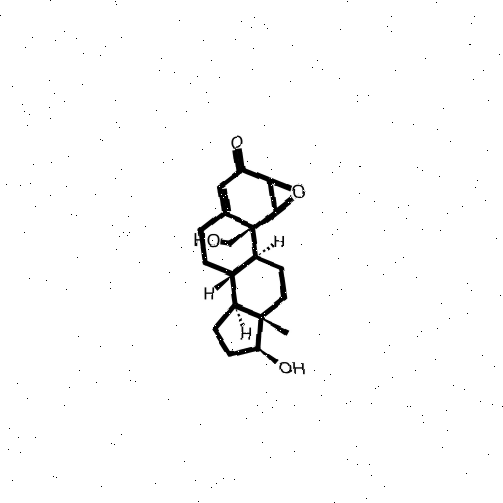 C[C@]12CC[C@H]3[C@@H](CCC4=CC(=O)C5OC5[C@@]43CO)[C@@H]1CC[C@@H]2O